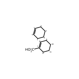 C1=CCCCC1.O=C(O)C1=CCCCC1